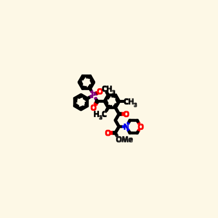 COC(=O)C(CC(=O)c1c(C)cc(C)c(C(=O)P(=O)(c2ccccc2)c2ccccc2)c1C)N1CCOCC1